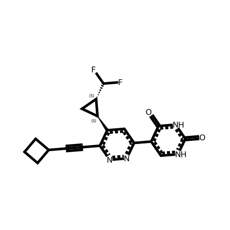 O=c1[nH]cc(-c2cc([C@H]3C[C@@H]3C(F)F)c(C#CC3CCC3)nn2)c(=O)[nH]1